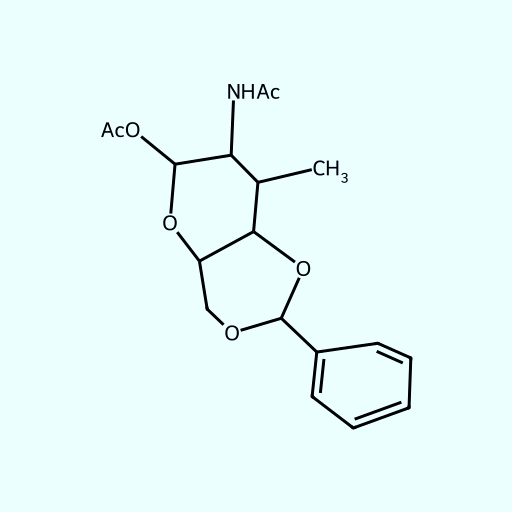 CC(=O)NC1C(OC(C)=O)OC2COC(c3ccccc3)OC2C1C